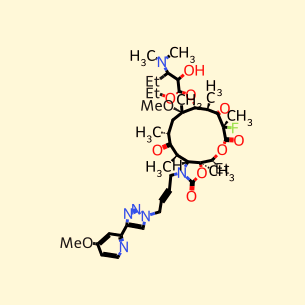 CCO[C@@H](O[C@@H]1[C@@H](C)C(=O)[C@](C)(F)C(=O)O[C@H](CC)[C@@]2(C)OC(=O)N(CC#CCn3cc(-c4cc(OC)ccn4)nn3)[C@@H]2[C@@H](C)C(=O)[C@H](C)C[C@@]1(C)OC)C(O)C(CC)N(C)C